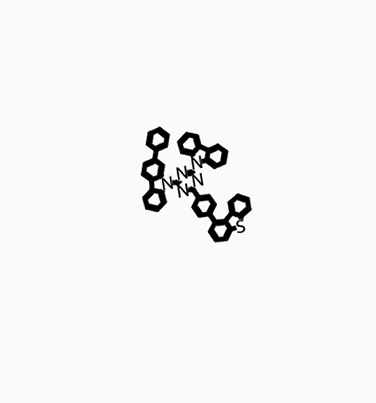 c1ccc(-c2ccc3c4ccccc4n(-c4nc(-c5ccc(-c6cccc7sc8ccccc8c67)cc5)nc(-n5c6ccccc6c6ccccc65)n4)c3c2)cc1